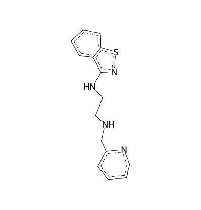 c1ccc(CNCCNc2nsc3ccccc23)nc1